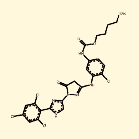 CCCCCCCCCCCCCCOC(=O)Nc1ccc(Cl)c(NC2=NN(c3c[nH]c(-c4c(Cl)cc(Cl)cc4Cl)n3)C(=O)C2)c1